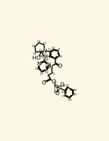 O=C(CCNC(=O)c1cccc(N2CCCCC2(O)Nc2ncccn2)c1)ONS(=O)(=O)c1ccccc1